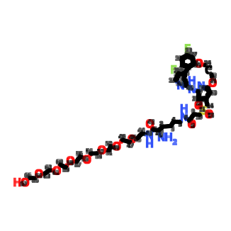 N[C@@H](CCCCNC(=O)CCS(=O)(=O)Cc1cc2nc(c1)OCCCOc1cc(F)ccc1-c1cc(ncc1F)N2)C(=O)NCCOCCOCCOCCOCCOCCOCCOCCO